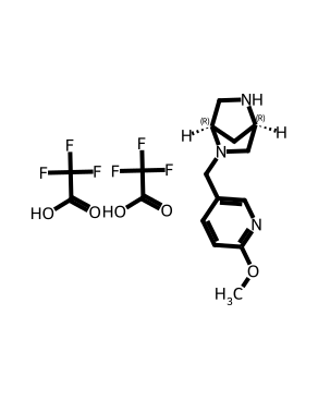 COc1ccc(CN2C[C@H]3C[C@@H]2CN3)cn1.O=C(O)C(F)(F)F.O=C(O)C(F)(F)F